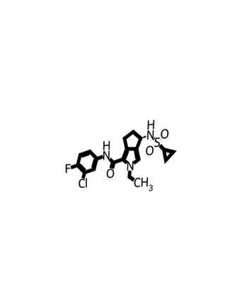 CCn1cc2c(c1C(=O)Nc1ccc(F)c(Cl)c1)CC[C@@H]2NS(=O)(=O)C1CC1